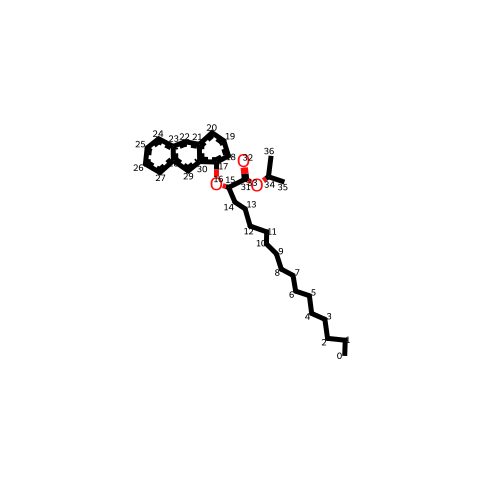 CCCCCCCCCCCCCCCC(Oc1cccc2cc3ccccc3cc12)C(=O)OC(C)C